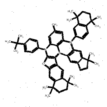 Cc1cc2c3c(c1)N(c1ccc(C(C)(C)C)cc1)c1oc4cc5c(cc4c1B3c1cc3c(cc1N2c1ccc2c(c1)C(C)(C)CCC2(C)C)C(C)(C)CC3)C(C)(C)CCC5(C)C